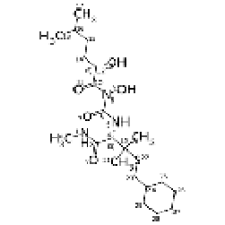 CNC(=O)[C@H](NC(=O)N(O)C(=O)[C@@H](O)CCC(C)C)C(C)(C)SCC1CCCCC1